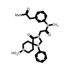 CNC(=O)Cc1cccc(N(C)C(=O)CN2CN(c3ccccc3)C3(CCN(C(=O)O)CC3)C2=O)c1